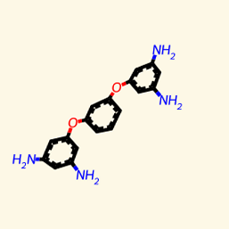 Nc1cc(N)cc(Oc2cccc(Oc3cc(N)cc(N)c3)c2)c1